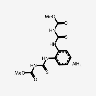 COC(=O)NC(=S)Nc1ccccc1NC(=S)NC(=O)OC.[AlH3]